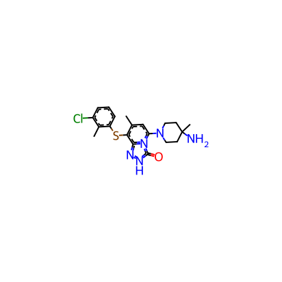 Cc1cc(N2CCC(C)(N)CC2)n2c(=O)[nH]nc2c1Sc1cccc(Cl)c1C